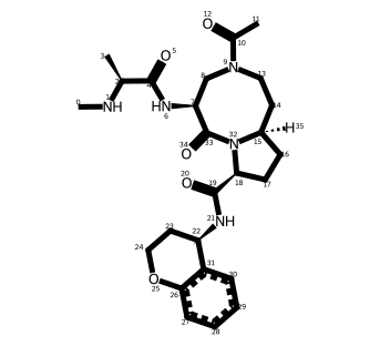 CN[C@@H](C)C(=O)N[C@H]1CN(C(C)=O)CC[C@H]2CC[C@@H](C(=O)N[C@@H]3CCOc4ccccc43)N2C1=O